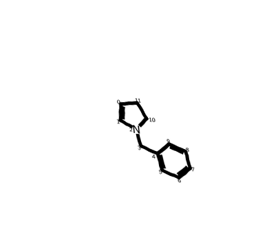 C1=CN(Cc2ccccc2)CC1